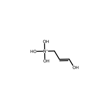 OC=CC[N+](O)(O)O